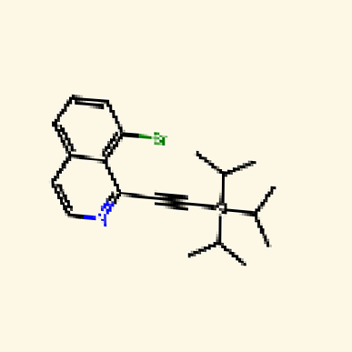 CC(C)[Si](C#Cc1nccc2cccc(Br)c12)(C(C)C)C(C)C